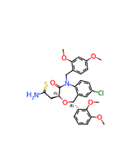 COc1ccc(CN2C(=O)[C@H](CC(N)=S)O[C@@H](c3cccc(OC)c3OC)c3cc(Cl)ccc32)c(OC)c1